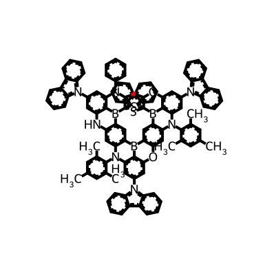 Cc1cc(C)c(N2c3cc4c(cc3B3c5cc6c(cc5Oc5cc(-n7c8ccccc8c8ccccc87)cc2c53)N(c2c(C)cc(C)cc2C)c2cc(-n3c5ccccc5c5ccccc53)cc3c2B6c2sc5ccccc5c2O3)B2c3sc5ccccc5c3N(c3ccccc3)c3cc(-n5c6ccccc6c6ccccc65)cc(c32)N4)c(C)c1